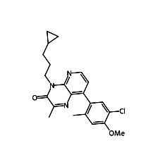 COc1cc(C)c(-c2ccnc3c2nc(C)c(=O)n3CCCC2CC2)cc1Cl